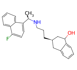 C[C@@H](NCCC[C@@H]1Cc2ccccc2C(O)C1)c1ccc(F)c2ccccc12